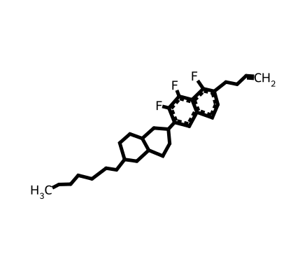 C=CCCc1ccc2cc(C3CCC4CC(CCCCCCC)CCC4C3)c(F)c(F)c2c1F